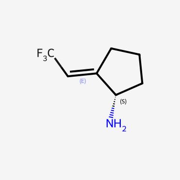 N[C@H]1CCC/C1=C\C(F)(F)F